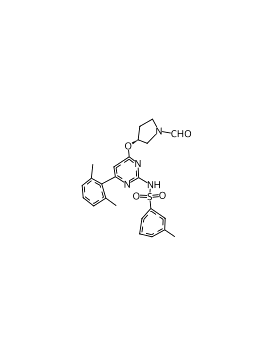 Cc1cccc(S(=O)(=O)Nc2nc(O[C@H]3CCN(C=O)C3)cc(-c3c(C)cccc3C)n2)c1